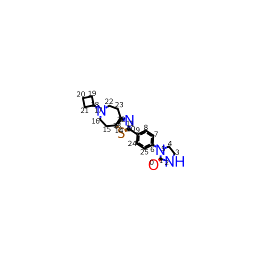 O=C1NCCN1c1ccc(-c2nc3c(s2)CCN(C2CCC2)CC3)cc1